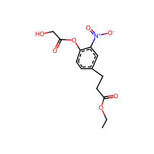 CCOC(=O)CCc1ccc(OC(=O)CO)c([N+](=O)[O-])c1